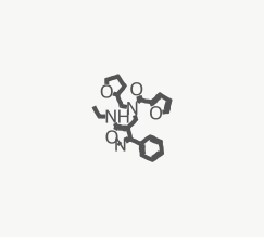 CCNc1onc(-c2ccccc2)c1CN(CC1CCCO1)C(=O)c1ccco1